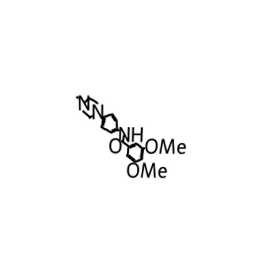 COc1cc(OC)cc(C(=O)Nc2ccc(N3CCN(C)CC3)cc2)c1